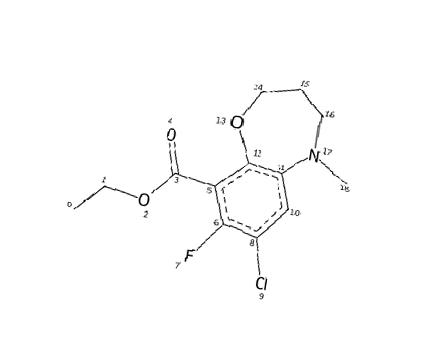 CCOC(=O)c1c(F)c(Cl)cc2c1OCCCN2C